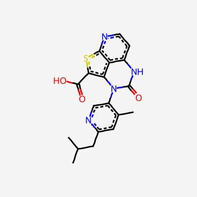 Cc1cc(CC(C)C)ncc1N1C(=O)Nc2ccnc3sc(C(=O)O)c1c23